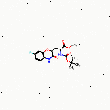 COC(=O)[C@H](C[C@@H]1Oc2cc(F)ccc2NC1=O)NC(=O)OC(C)(C)C